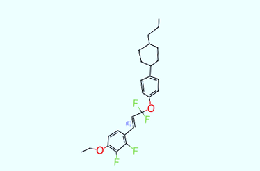 CCCC1CCC(c2ccc(OC(F)(F)/C=C/c3ccc(OCC)c(F)c3F)cc2)CC1